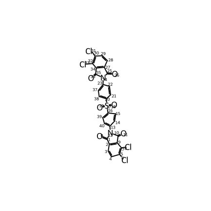 O=C1c2ccc(Cl)c(Cl)c2C(=O)N1c1ccc(S(=O)(=O)c2ccc(N3C(=O)c4ccc(Cl)c(Cl)c4C3=O)cc2)cc1